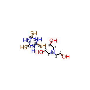 OCCN(CCO)CCO.SC1NC(S)NC(S)N1